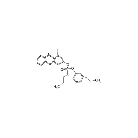 CCCSP(=O)(Oc1cccc(CCC)c1)Oc1cc(F)c2nc3ccccc3cc2c1